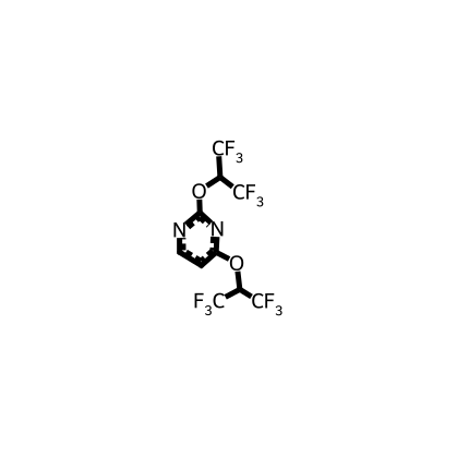 FC(F)(F)C(Oc1ccnc(OC(C(F)(F)F)C(F)(F)F)n1)C(F)(F)F